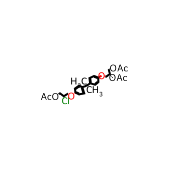 CC(=O)OC[C@@H](Cl)COc1ccc(C(C)(C)c2ccc(OC[C@H](COC(C)=O)OC(C)=O)cc2)cc1